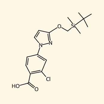 CC(C)(C)[Si](C)(C)COc1ccn(-c2ccc(C(=O)O)c(Cl)c2)n1